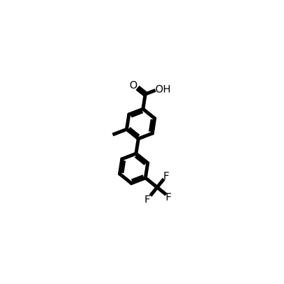 Cc1cc(C(=O)O)ccc1-c1cccc(C(F)(F)F)c1